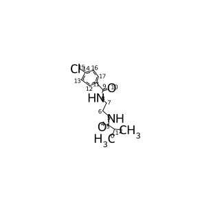 CC(C)C(=O)NCCNC(=O)c1ccc(Cl)cc1